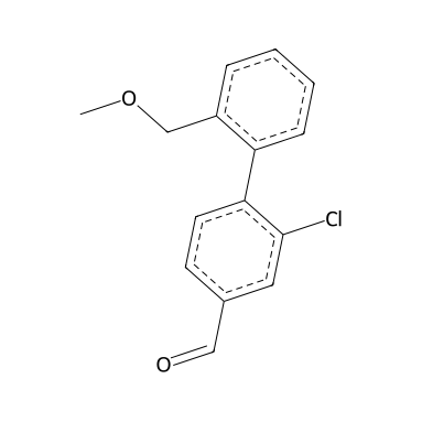 COCc1ccccc1-c1ccc(C=O)cc1Cl